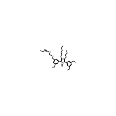 CCCCCCC1=C(c2cc(CC)cc(CC)c2)[N+](=[N-])C(c2cc(CC)cc(CC)c2)=C1CCCC.CC[O][Ni][O]CC